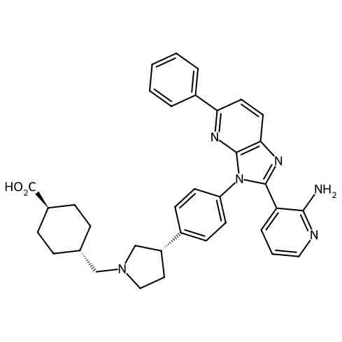 Nc1ncccc1-c1nc2ccc(-c3ccccc3)nc2n1-c1ccc([C@@H]2CCN(C[C@H]3CC[C@H](C(=O)O)CC3)C2)cc1